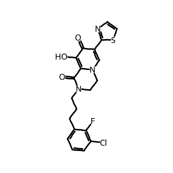 O=C1c2c(O)c(=O)c(-c3nccs3)cn2CCN1CCCc1cccc(Cl)c1F